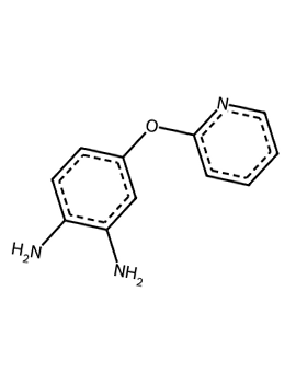 Nc1ccc(Oc2ccccn2)cc1N